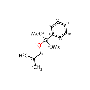 C=C(C)CO[Si](OC)(OC)c1ccccc1